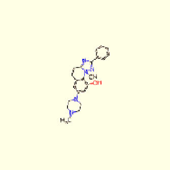 CN1CCN(c2cc(O)c3c(c2)C=CC2=NC(c4ccccc4)=N[N+]23C#N)CC1